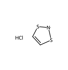 C1=CS[N]S1.Cl